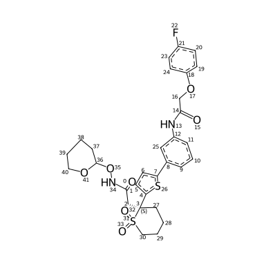 O=C(C[C@]1(c2ccc(-c3cccc(NC(=O)COc4ccc(F)cc4)c3)s2)CCCCS1(=O)=O)NOC1CCCCO1